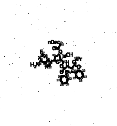 C#C[C@]1(CO[P@@](=O)(N[C@@H](Cc2ccccc2)C(=O)OC(C)C)Oc2ccccc2)O[C@@H](n2cnc3c(N)nc(F)nc32)C[C@@H]1OC(=O)CCCCCCCCCCC